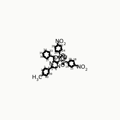 Cc1ccc(-c2cnc(N(S(=O)(=O)c3ccc([N+](=O)[O-])cc3)S(=O)(=O)c3ccc([N+](=O)[O-])cc3)c(Cc3ccccc3)n2)cc1